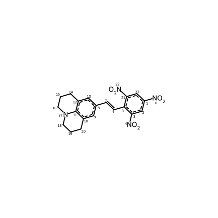 O=[N+]([O-])c1cc([N+](=O)[O-])c(C=Cc2cc3c4c(c2)CCCN4CCC3)c([N+](=O)[O-])c1